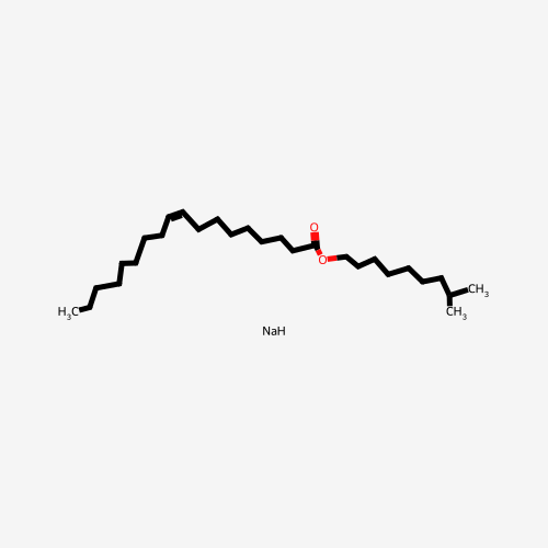 CCCCCCCC/C=C\CCCCCCCC(=O)OCCCCCCCC(C)C.[NaH]